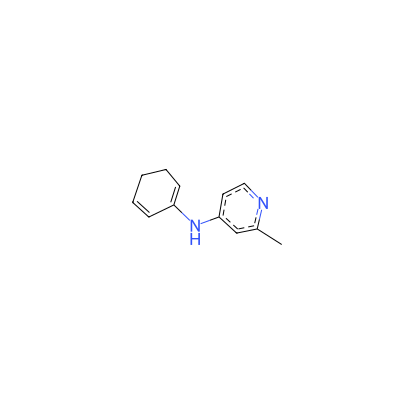 Cc1cc(NC2=CCCC=C2)ccn1